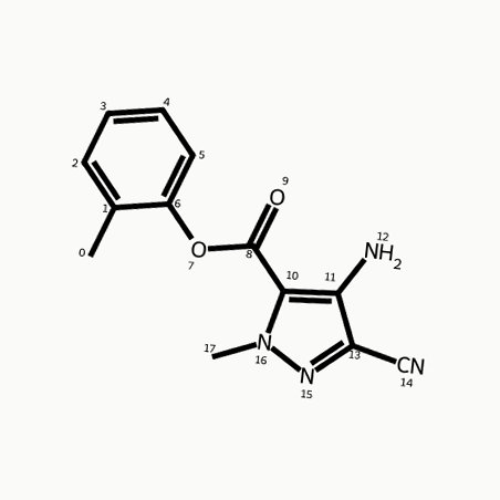 Cc1ccccc1OC(=O)c1c(N)c(C#N)nn1C